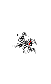 Cc1cc2c3c(c1)N(c1ccc(C(C)(C)C)cc1-c1ccc(C(C)(C)C)cc1)c1ccc(-c4ccccc4)cc1B3c1ccc(N3c4ccc(C(C)(C)C)cc4C4(C)CCCCC34C)cc1N2c1ccc(C(C)(C)C)cc1